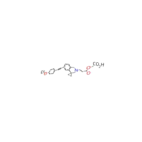 CCOc1ccc(C#Cc2ccc3c(c2)C2(CC2)CN(CCC(=O)OCC(=O)O)C3)cc1